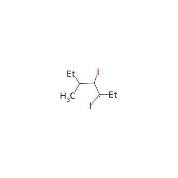 CC[C](I)C(I)C(C)CC